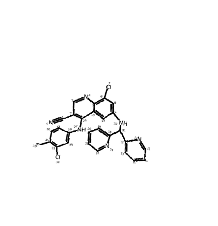 N#Cc1cnc2c(Cl)cc(NC(c3ccccn3)c3ccccn3)cc2c1Nc1ccc(F)c(Cl)c1